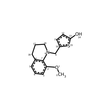 COc1cccc2c1N(Cc1ccc(O)s1)CCC2